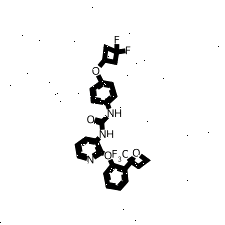 O=C(Nc1ccc(OC2CC(F)(F)C2)cc1)Nc1cccnc1Oc1ccccc1C1(C(F)(F)F)CCO1